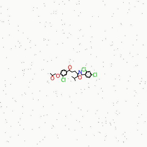 CC(=O)COc1ccc(C(=O)CCc2nc(-c3ccc(Cl)cc3Cl)oc2C(C)C)cc1Cl